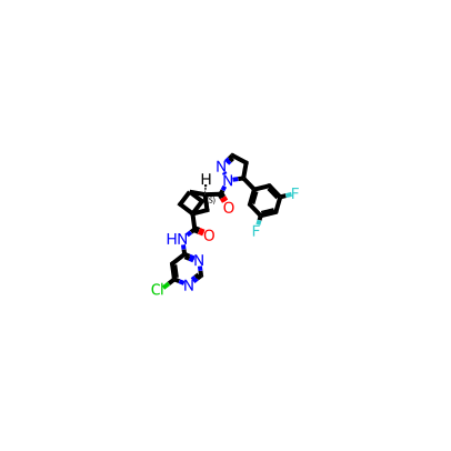 O=C([C@H]1CC2(C(=O)Nc3cc(Cl)ncn3)CC1C2)N1N=CCC1c1cc(F)cc(F)c1